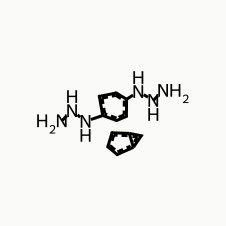 NNNc1ccc(NNN)cc1.c1cc2cc-2c1